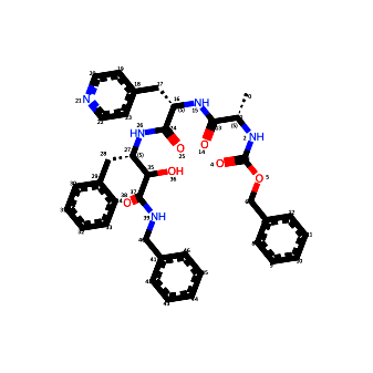 C[C@H](NC(=O)OCc1ccccc1)C(=O)N[C@@H](Cc1ccncc1)C(=O)N[C@@H](Cc1ccccc1)C(O)C(=O)NCc1ccccc1